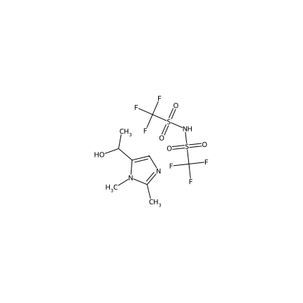 Cc1ncc(C(C)O)n1C.O=S(=O)(NS(=O)(=O)C(F)(F)F)C(F)(F)F